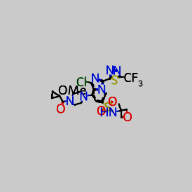 COC1(C(=O)N2CCN(c3cc(S(=O)(=O)NC4(C)COC4)cn4c(-c5nnc(C(F)(F)F)s5)nc(Cl)c34)CC2)CC1